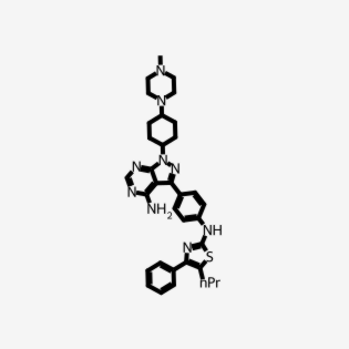 CCCc1sc(Nc2ccc(-c3nn(C4CCC(N5CCN(C)CC5)CC4)c4ncnc(N)c34)cc2)nc1-c1ccccc1